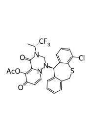 CC(=O)Oc1c2n(ccc1=O)N([C@@H]1c3ccccc3CSc3c(Cl)cccc31)CN([C@H](C)C(F)(F)F)C2=O